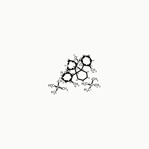 C[N+](C)(C)C.C[N+](C)(C)C.Cc1ccccc1C1(OB([O-])[O-])CCCCC1(c1ccccc1C)c1ccccc1C